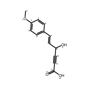 COc1ccc(/C=C/C(O)C#CC(=O)O)cc1